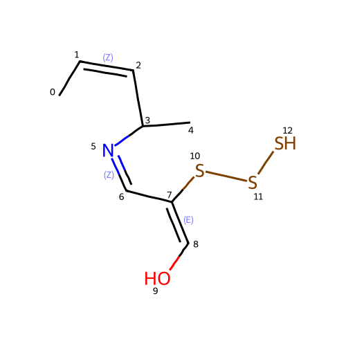 C/C=C\C(C)/N=C\C(=C/O)SSS